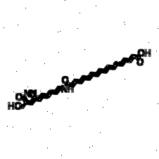 NC(=O)[C@H](CO)CC(=O)CC=CCCCNC(=O)CCCCCCCCCCCCCCCCC(=O)O